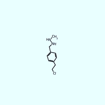 CNNCc1ccc(CCCl)cc1